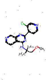 COCC(C)(C)Nc1nc(-c2ccncc2Cl)nc2cnccc12